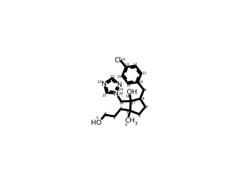 CC1(CCCO)CCC(Cc2ccc(Cl)cc2)C1(O)Cn1cncn1